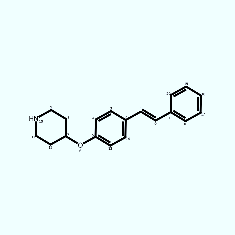 C(=C\c1ccc(OC2CCNCC2)cc1)/c1ccccc1